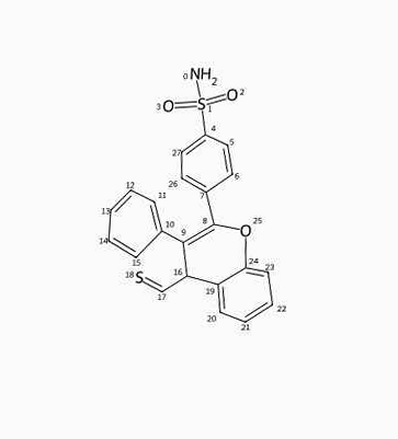 NS(=O)(=O)c1ccc(C2=C(c3ccccc3)C(C=S)c3ccccc3O2)cc1